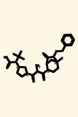 CC(C)(C)N(C(=O)O)[C@@H]1CC[C@H](C(=O)N(N)C(=O)[C@@H]2CC[C@@H]3CN2C(=O)N3OCc2ccccc2)C1